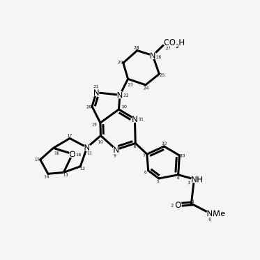 CNC(=O)Nc1ccc(-c2nc(N3CC4CCC(C3)O4)c3cnn(C4CCN(C(=O)O)CC4)c3n2)cc1